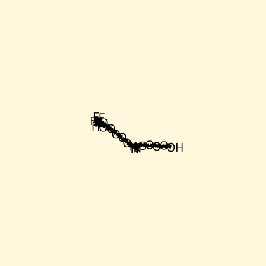 O=C(CCOCCOCCOCCOCCn1cc(COCCOCCOCCOCCO)nn1)Oc1c(F)c(F)c(F)c(F)c1F